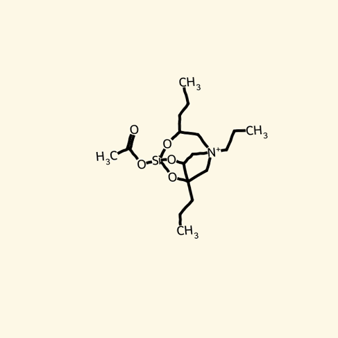 CCCC1C[N+]2(CCC)CCO[Si](OC(C)=O)(O1)OC(CCC)C2